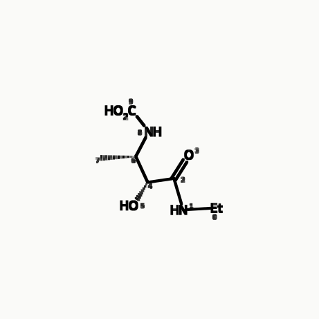 CCNC(=O)[C@H](O)[C@H](C)NC(=O)O